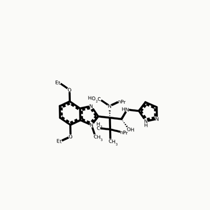 CCCN(C(=O)O)[C@](c1nc2c(OCC)ccc(OCC)c2n1C)([C@@H](O)Nc1ccn[nH]1)C(C)(C)CCC